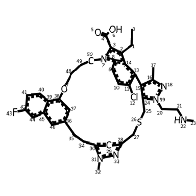 CCc1c(C(=O)O)n2c3ccc(Cl)c(c13)-c1c(C)nn(CCNC)c1CSCc1cc(n(C)n1)CCc1cc(c3ccc(F)cc3c1)OCCC2